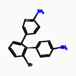 CC(C)c1cccc(-c2ccc(N)cc2)c1-c1ccc(N)cc1